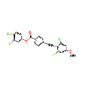 CCCCOc1cc(F)c(C#Cc2ccc(C(=O)Oc3ccc(F)c(F)c3)cc2)c(F)c1